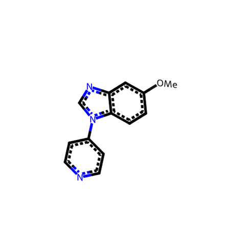 COc1ccc2c(c1)ncn2-c1ccncc1